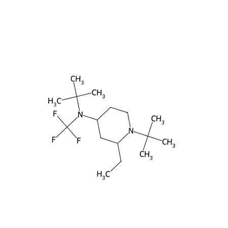 CCC1CC(N(C(C)(C)C)C(F)(F)F)CCN1C(C)(C)C